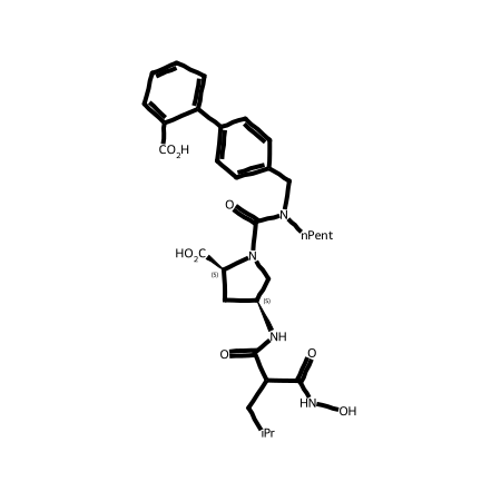 CCCCCN(Cc1ccc(-c2ccccc2C(=O)O)cc1)C(=O)N1C[C@@H](NC(=O)C(CC(C)C)C(=O)NO)C[C@H]1C(=O)O